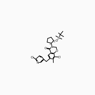 Cc1c(Cc2ccc(Cl)nc2)cc2c(c1Cl)OCN([C@H]1CCC[C@@H]1O[Si](C)(C)C(C)(C)C)C2=O